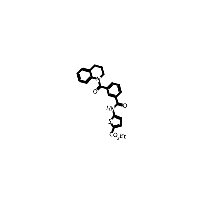 CCOC(=O)c1ccc(NC(=O)c2cccc(C(=O)N3CCCc4ccccc43)c2)s1